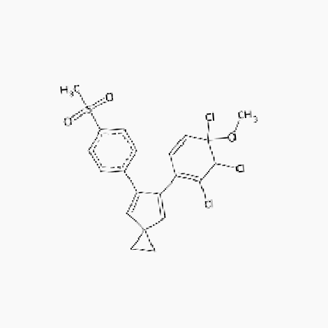 COC1(Cl)C=CC(C2=CC3(C=C2c2ccc(S(C)(=O)=O)cc2)CC3)=C(Cl)C1Cl